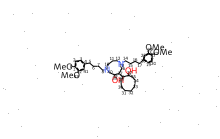 COc1ccc(CCCCN2CCCN(CCCCc3ccc(OC)c(OC)c3)CC(C3CCCCCCCC3O)C(O)C2)cc1OC